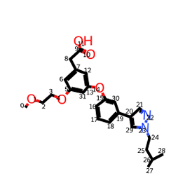 COCCOc1cc(CC(=O)O)cc(Oc2cccc(-c3cnn(CCC(C)C)c3)c2)c1